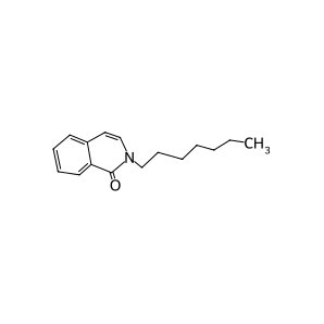 CCCCCCCn1ccc2ccccc2c1=O